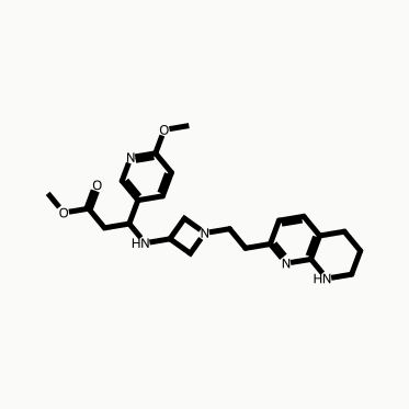 COC(=O)CC(NC1CN(CCc2ccc3c(n2)NCCC3)C1)c1ccc(OC)nc1